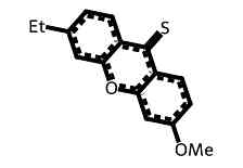 CCc1ccc2c(=S)c3ccc(OC)cc3oc2c1